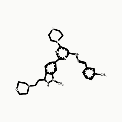 Cc1cccc(/C=N/Nc2cc(N3CCOCC3)nc(-c3ccc4c(c3)N(C)NC4CCN3CCOCC3)n2)c1